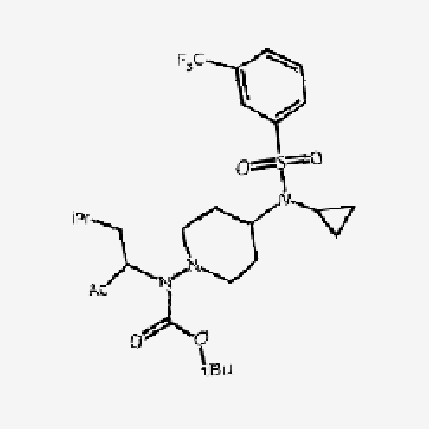 CC(=O)C(CC(C)C)N(C(=O)OC(C)(C)C)N1CCC(N(C2CC2)S(=O)(=O)c2cccc(C(F)(F)F)c2)CC1